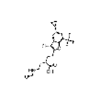 O=CNCCC(CCc1oc2c(C(F)(F)F)cc(C3CC3)cc2c1Cl)C(=O)O